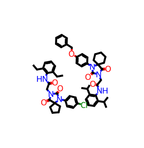 CC(C)c1cccc(C(C)C)c1NC(=O)CN1C(=O)N(c2ccc(OCc3ccccc3)cc2)C2(CCCCC2)C1=O.CCc1cccc(CC)c1NC(=O)CN1C(=O)N(c2ccc(Cl)cc2)C2(CCCC2)C1=O